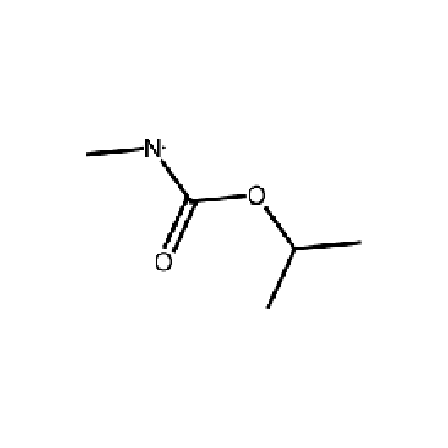 C[N]C(=O)OC(C)C